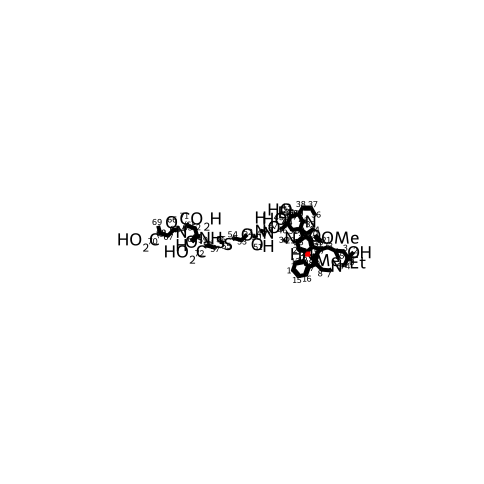 CC[C@]1(O)CC2CN(CCc3c([nH]c4ccccc34)[C@@](C(=O)OC)(c3cc4c(cc3OC)N(C)C3C45CCN4CC=C[C@](CC)(C45)[C@@H](O)[C@]3(O)CONNC(=O)OCCSSC[C@H](NC(=O)C[C@H](NC(=O)C[C@H](C)C(=O)O)C(=O)O)C(=O)O)C2)C1